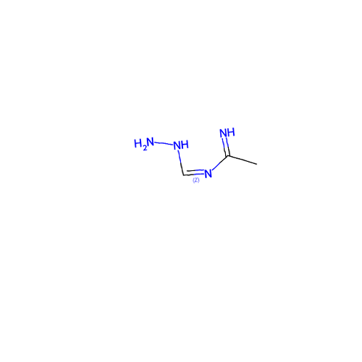 CC(=N)/N=C\NN